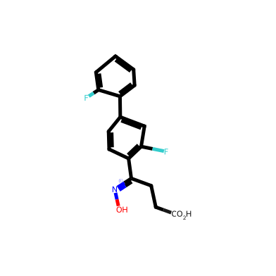 O=C(O)CC/C(=N\O)c1ccc(-c2ccccc2F)cc1F